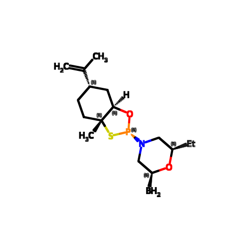 B[C@H]1CN([P@]2O[C@@H]3C[C@@H](C(=C)C)CC[C@@]3(C)S2)C[C@@H](CC)O1